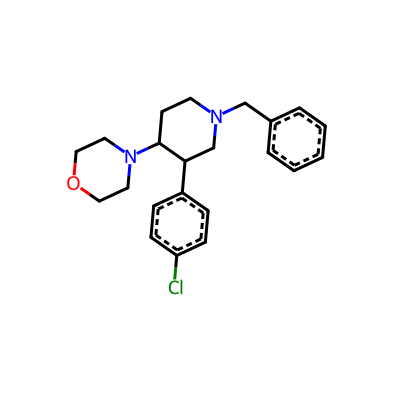 Clc1ccc(C2CN(Cc3ccccc3)CCC2N2CCOCC2)cc1